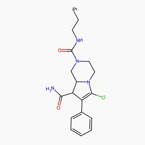 CC(C)CCNC(=O)N1CCN2C(Cl)=C(c3ccccc3)C(C(N)=O)C2C1